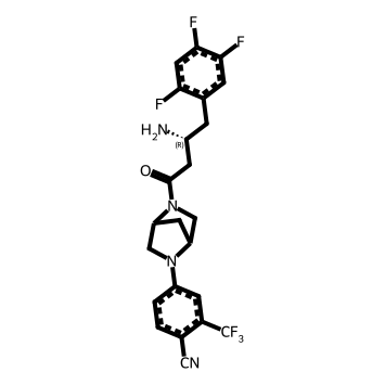 N#Cc1ccc(N2CC3CC2CN3C(=O)C[C@H](N)Cc2cc(F)c(F)cc2F)cc1C(F)(F)F